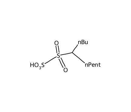 CCCCCC(CCCC)S(=O)(=O)S(=O)(=O)O